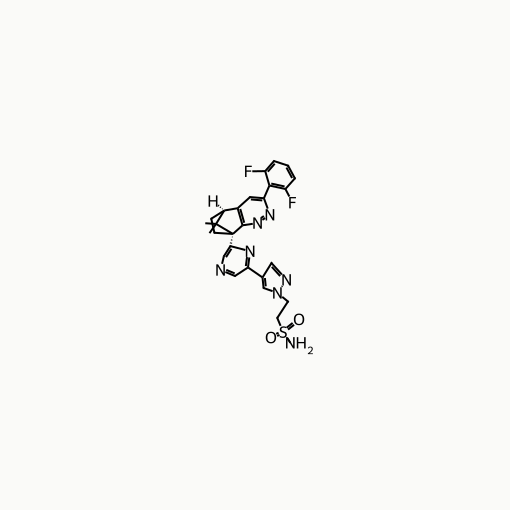 CC1(C)[C@H]2CC[C@]1(c1cncc(-c3cnn(CCS(N)(=O)=O)c3)n1)c1nnc(-c3c(F)cccc3F)cc12